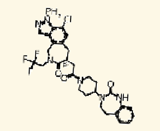 O=C(C[C@@H]1Cc2cc(Cl)c3c(cnn3P)c2CN(CC(F)(F)F)C1=O)N1CCC(N2CCc3ccccc3NC2=O)CC1